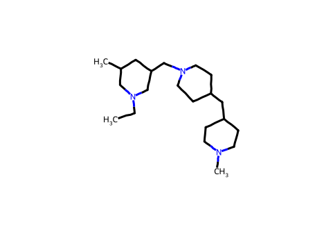 CCN1CC(C)CC(CN2CCC(CC3CCN(C)CC3)CC2)C1